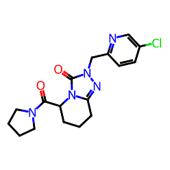 O=C(C1CCCc2nn(Cc3ccc(Cl)cn3)c(=O)n21)N1CCCC1